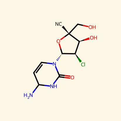 N#C[C@]1(CO)O[C@@H](N2C=CC(N)NC2=O)[C@H](Cl)[C@@H]1O